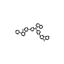 c1ccc(-c2cccc3c2oc2ccc(-c4ccc(N(c5ccc(-c6ccc7sc8ccccc8c7c6)cc5)c5cccc6ccccc56)cc4)cc23)cc1